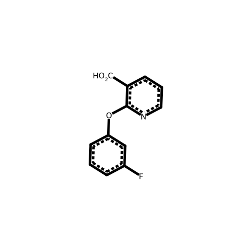 O=C(O)c1cccnc1Oc1cccc(F)c1